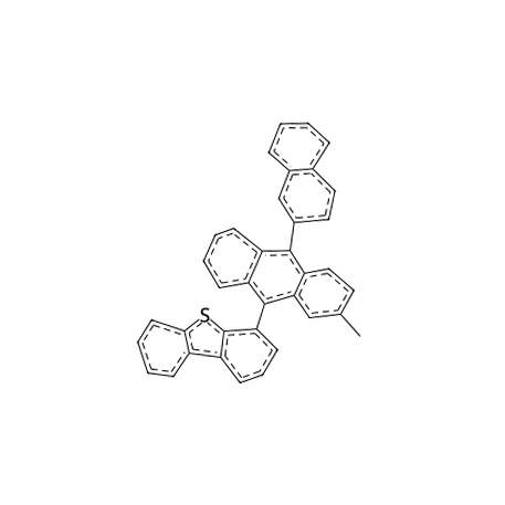 Cc1ccc2c(-c3ccc4ccccc4c3)c3ccccc3c(-c3cccc4c3sc3ccccc34)c2c1